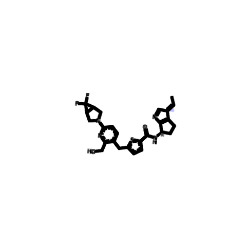 C/C=C1\C=NC2=C1CC[C@H]2NC(=O)c1ccc(Cc2ccc(N3CC4C(C3)C4(F)F)nc2CO)s1